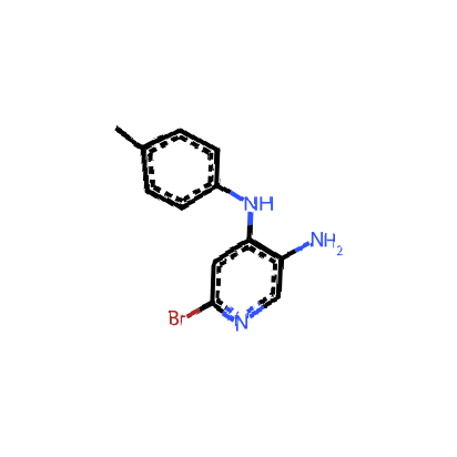 Cc1ccc(Nc2cc(Br)ncc2N)cc1